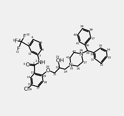 O=C(Nc1cccc(C(F)(F)F)c1)c1cc(Cl)ccc1OCC(O)CN1CCN(C(c2ccccc2)c2ccccc2)CC1